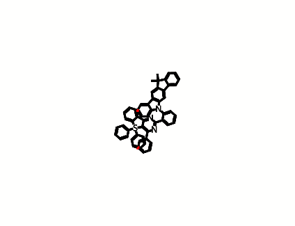 CC1(C)c2ccccc2-c2cc3c(cc21)c1ccccc1n3-c1ccccc1-c1nc(-c2ccccc2)c2c(n1)-c1ccccc1S2(c1ccccc1)c1ccccc1